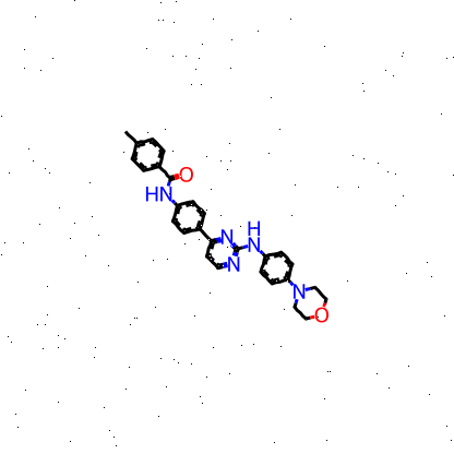 Cc1ccc(C(=O)Nc2ccc(-c3ccnc(Nc4ccc(N5CCOCC5)cc4)n3)cc2)cc1